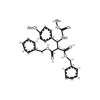 COc1ccc(C(NC(=O)OC(C)(C)C)C(C(=O)OCc2ccccc2)C(=O)OCc2ccccc2)cc1